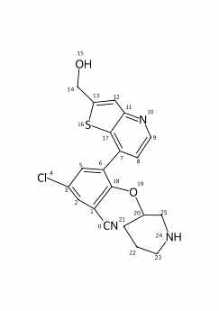 N#Cc1cc(Cl)cc(-c2ccnc3cc(CO)sc23)c1OC1CCCNC1